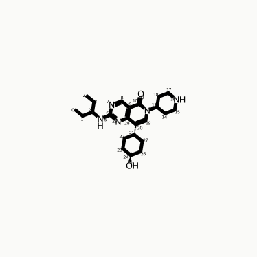 CCC(CC)Nc1ncc2c(=O)n(C3CCNCC3)cc([C@H]3CC[C@H](O)CC3)c2n1